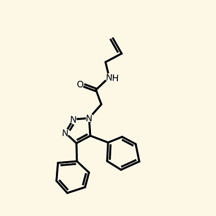 C=CCNC(=O)Cn1nnc(-c2ccccc2)c1-c1ccccc1